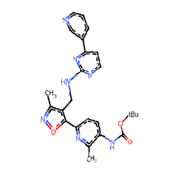 Cc1nc(-c2onc(C)c2CNc2nccc(-c3cccnc3)n2)ccc1NC(=O)OC(C)(C)C